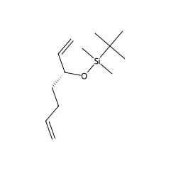 C=CCC[C@H](C=C)O[Si](C)(C)C(C)(C)C